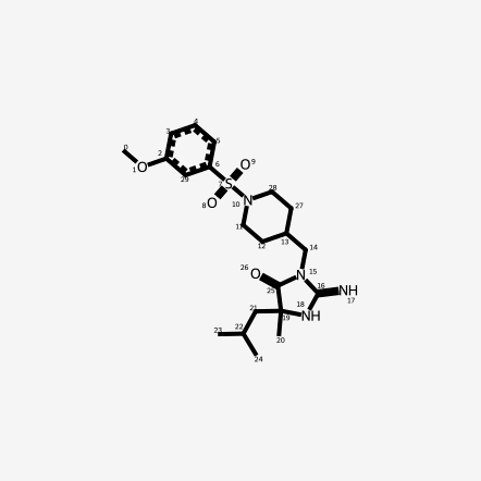 COc1cccc(S(=O)(=O)N2CCC(CN3C(=N)NC(C)(CC(C)C)C3=O)CC2)c1